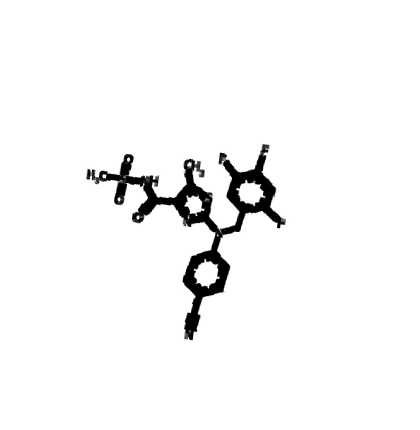 Cc1sc(N(Cc2cc(F)c(F)cc2F)c2ccc(C#N)cc2)nc1C(=O)NS(C)(=O)=O